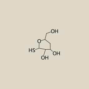 OCC1CC(O)C(O)C(S)O1